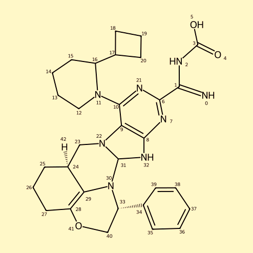 N=C(NC(=O)O)c1nc2c(c(N3CCCCC3C3CCC3)n1)N1C[C@@H]3CCCC4=C3N(C1N2)[C@H](c1ccccc1)CO4